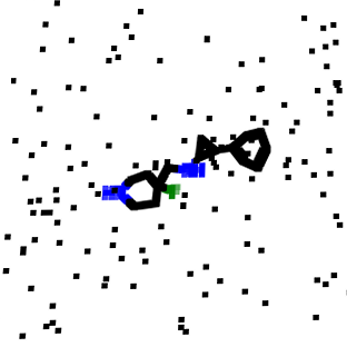 FC1(CN[C@@H]2C[C@H]2c2ccccc2)CCNCC1